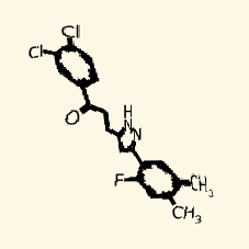 Cc1cc(F)c(-c2cc(/C=C/C(=O)c3ccc(Cl)c(Cl)c3)[nH]n2)cc1C